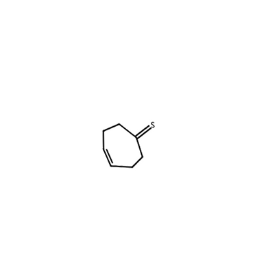 S=C1CCC=CCC1